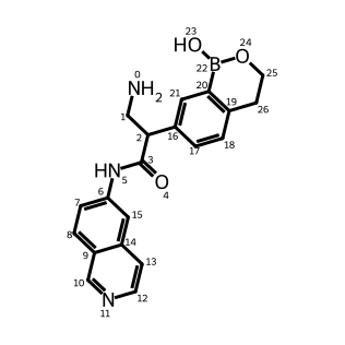 NCC(C(=O)Nc1ccc2cnccc2c1)c1ccc2c(c1)B(O)OCC2